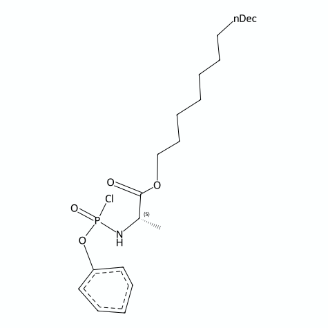 CCCCCCCCCCCCCCCCCOC(=O)[C@H](C)NP(=O)(Cl)Oc1ccccc1